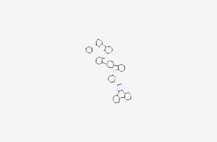 c1ccc(-c2cccc3c2oc2c(-n4c5ccccc5c5cc6c(cc54)c4ccccc4n6-c4cccc(-c5cnc6c7ccccc7c7ccccc7c6n5)c4)cccc23)cc1